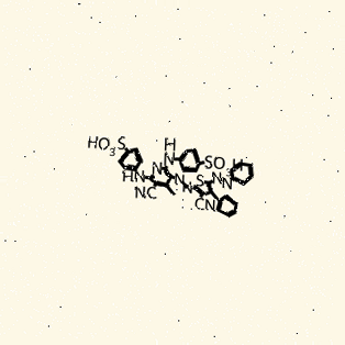 Cc1c(C#N)c(Nc2ccc(S(=O)(=O)O)cc2)nc(Nc2ccc(S(=O)(=O)O)cc2)c1N=Nc1sc(N=Nc2ccccc2)c(-c2ccccc2)c1C#N